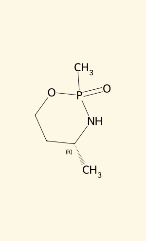 C[C@@H]1CCOP(C)(=O)N1